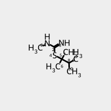 CNC(=N)SC(C)(C)C(C)C